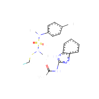 COC(=O)Nc1nc2ccccc2[nH]1.Cc1ccc(N(C)S(=O)(=O)N(C)SCF)cc1